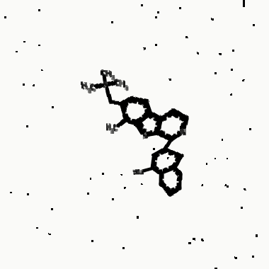 Cc1c(CS(C)(C)C)ccc2c1sc1c(-c3cc(C(C)(C)C)c4ccccc4c3)nccc12